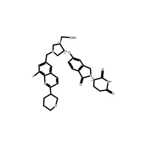 COC[C@@H]1CN(Cc2cc(F)c3nc(C4CCCOC4)ccc3c2)C[C@H]1Oc1ccc2c(c1)CN([C@H]1CCC(=O)NC1=O)C2=O